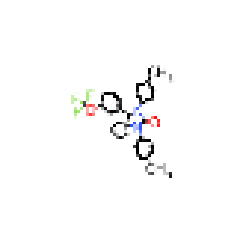 Cc1ccc(N2C(=O)N(c3ccc(C)cc3)C3(CCCC3)C2c2cccc(OC(F)(F)F)c2)cc1